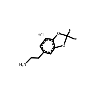 Cl.NCCc1ccc2c(c1)OC(F)(F)O2